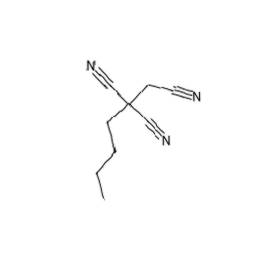 CCCCC(C#N)(C#N)CC#N